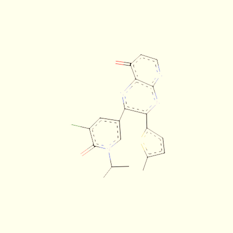 Cc1ccc(-c2nc3[nH]ccc(=O)c3nc2-c2cc(Cl)c(=O)n(C(C)C)c2)s1